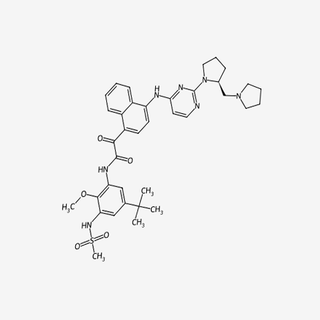 COc1c(NC(=O)C(=O)c2ccc(Nc3ccnc(N4CCC[C@H]4CN4CCCC4)n3)c3ccccc23)cc(C(C)(C)C)cc1NS(C)(=O)=O